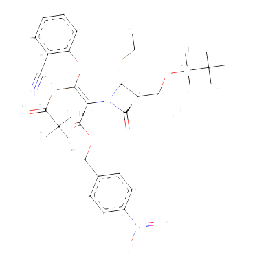 CCS[C@@H]1[C@@H]([C@@H](C)O[Si](C)(C)C(C)(C)C)C(=O)N1C(C(=O)OCc1ccc([N+](=O)[O-])cc1)=C(Oc1ccccc1C#N)SC(=O)C(C)(C)C